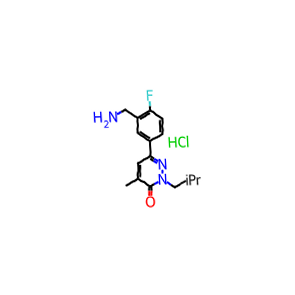 Cc1cc(-c2ccc(F)c(CN)c2)nn(CC(C)C)c1=O.Cl